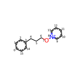 c1ccc(CCCO[n+]2ccccc2)cc1